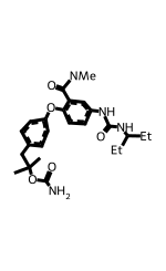 CCC(CC)NC(=O)Nc1ccc(Oc2ccc(CC(C)(C)OC(N)=O)cc2)c(C(=O)NC)c1